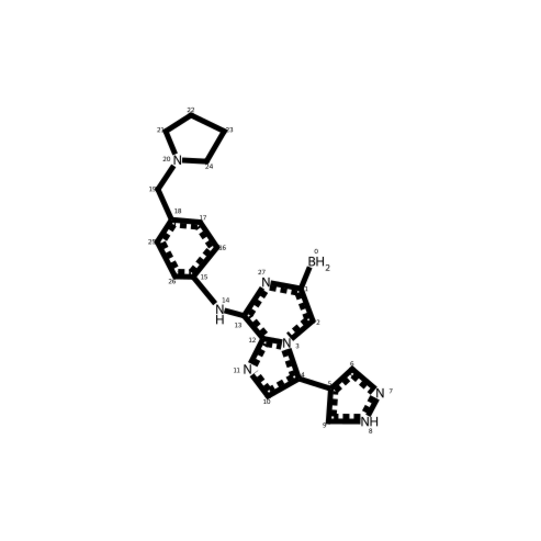 Bc1cn2c(-c3cn[nH]c3)cnc2c(Nc2ccc(CN3CCCC3)cc2)n1